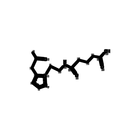 CC(=O)Cc1ccnn1CCNC(=O)CCCC(=O)O